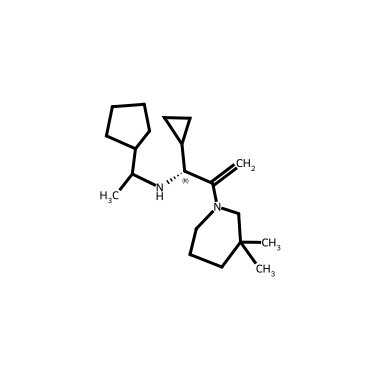 C=C([C@H](NC(C)C1CCCC1)C1CC1)N1CCCC(C)(C)C1